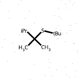 CC(C)C(C)(C)SC(C)(C)C